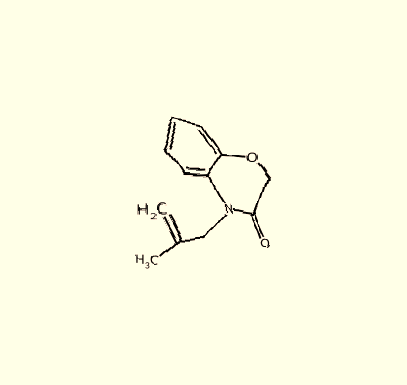 C=C(C)CN1C(=O)COc2ccccc21